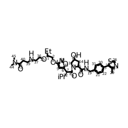 CCC(COc1cc([C@@H](C(=O)N2CC(O)CC2C(=O)NCc2ccc(-c3scnc3C)cc2)C(C)C)on1)OCCNCCC(=O)N(C)C